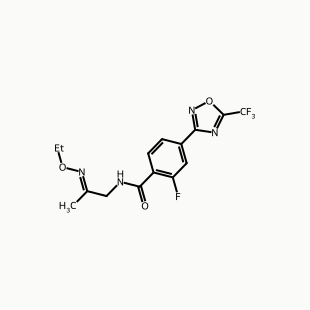 CCON=C(C)CNC(=O)c1ccc(-c2noc(C(F)(F)F)n2)cc1F